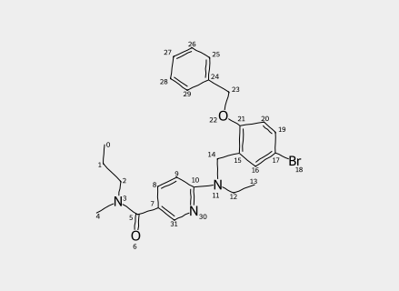 CCCN(C)C(=O)c1ccc(N(CC)Cc2cc(Br)ccc2OCc2ccccc2)nc1